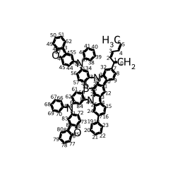 C=C(/C=C\C=C/C)c1ccc2c3cc4c5ccc(-c6ccccc6)cc5n5c4c4c3n(c2c1)-c1cc(N(c2ccccc2)c2ccc3oc6ccccc6c3c2)ccc1B4c1ccc(N(c2ccccc2)c2ccc3oc4ccccc4c3c2)cc1-5